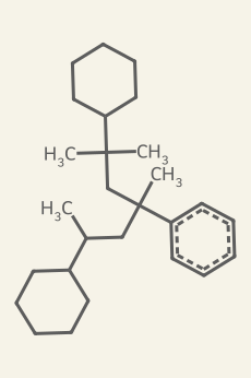 CC(CC(C)(CC(C)(C)C1CCCCC1)c1ccccc1)C1CCCCC1